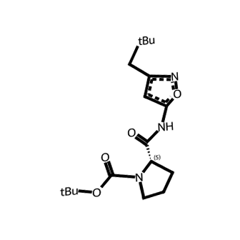 CC(C)(C)Cc1cc(NC(=O)[C@@H]2CCCN2C(=O)OC(C)(C)C)on1